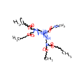 CCCCCCCCOC(=O)CCN(CCCNc1nc(NCCCN(CCC(=O)OCCCCCCCC)CCC(=O)OCCCCCCCC)nc(NCCOC(=O)CCN2CCN(C)CC2)n1)CCC(=O)OCCCCCCCC